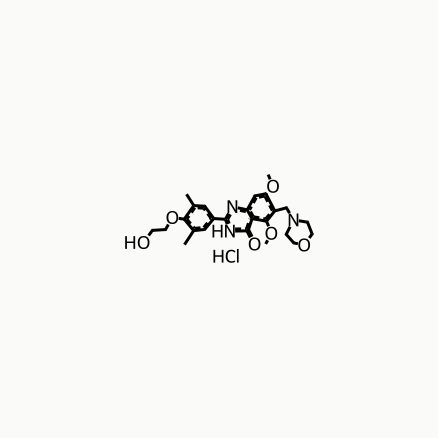 COc1cc2nc(-c3cc(C)c(OCCO)c(C)c3)[nH]c(=O)c2c(OC)c1CN1CCOCC1.Cl